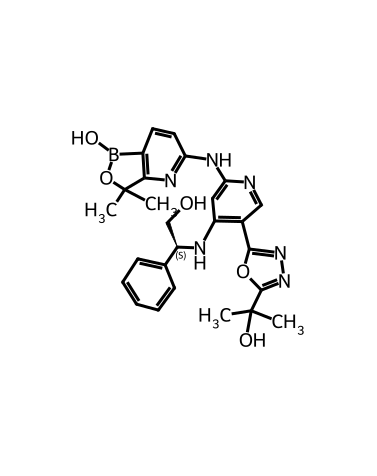 CC(C)(O)c1nnc(-c2cnc(Nc3ccc4c(n3)C(C)(C)OB4O)cc2N[C@H](CO)c2ccccc2)o1